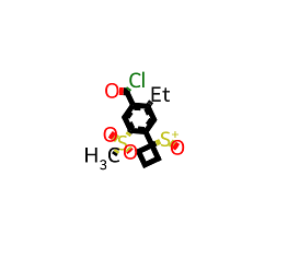 CCc1cc(C2([S+]=O)CCC2)c(S(C)(=O)=O)cc1C(=O)Cl